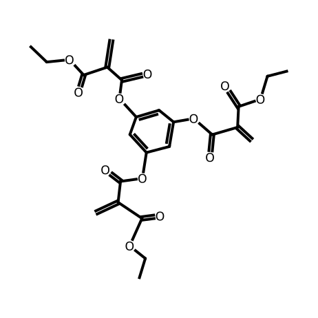 C=C(C(=O)OCC)C(=O)Oc1cc(OC(=O)C(=C)C(=O)OCC)cc(OC(=O)C(=C)C(=O)OCC)c1